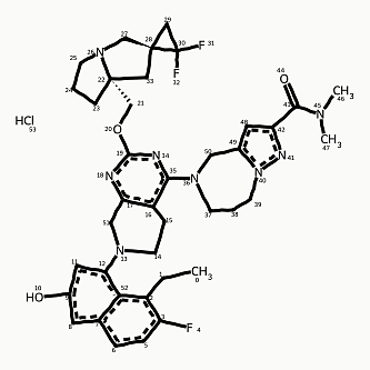 CCc1c(F)ccc2cc(O)cc(N3CCc4c(nc(OC[C@]56CCCN5C[C@]5(CC5(F)F)C6)nc4N4CCCn5nc(C(=O)N(C)C)cc5C4)C3)c12.Cl